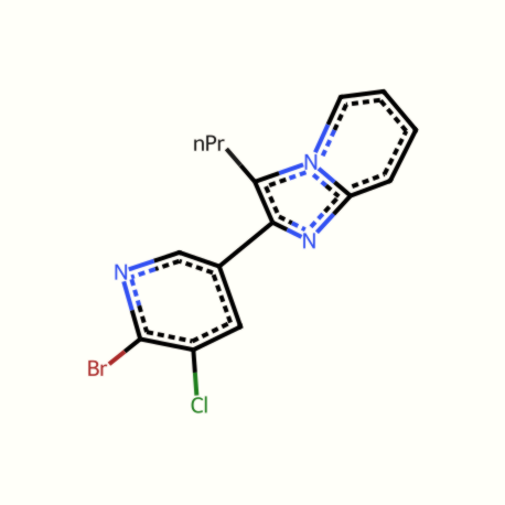 CCCc1c(-c2cnc(Br)c(Cl)c2)nc2ccccn12